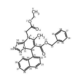 CCOC(=O)CN1C(C)=C(C(=O)OCc2ccccc2)C(c2cccc3ccccc23)n2nnnc21